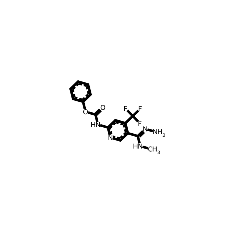 CN/C(=N\N)c1cnc(NC(=O)Oc2ccccc2)cc1C(F)(F)F